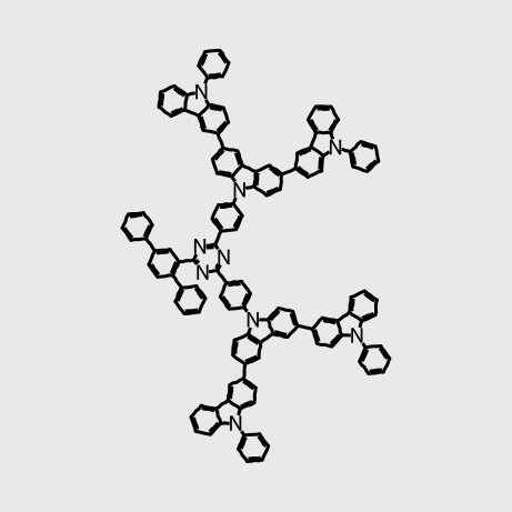 c1ccc(-c2ccc(-c3ccccc3)c(-c3nc(-c4ccc(-n5c6ccc(-c7ccc8c(c7)c7ccccc7n8-c7ccccc7)cc6c6cc(-c7ccc8c(c7)c7ccccc7n8-c7ccccc7)ccc65)cc4)nc(-c4ccc(-n5c6ccc(-c7ccc8c(c7)c7ccccc7n8-c7ccccc7)cc6c6cc(-c7ccc8c(c7)c7ccccc7n8-c7ccccc7)ccc65)cc4)n3)c2)cc1